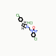 Cl.Cn1c(=O)n(CCN2C[C@H]3C[C@H](c4ccc(Cl)cc4)[C@H]3C2)c2ccc(Cl)cc21